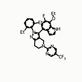 CCOc1c(F)cc(-c2c3c(nn2-c2c(CC)cccc2CC)CCN(c2ncc(C(F)(F)F)cn2)C3)c2cc[nH]c12